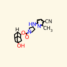 Cc1nc(NC2CCN(C(=O)OC3C4CC5C[C@@H]3CC(O)(C5)C4)C2)ccc1C#N